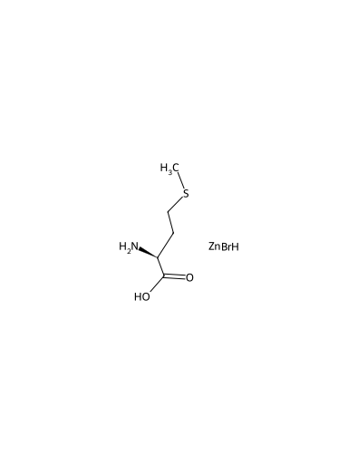 Br.CSCC[C@H](N)C(=O)O.[Zn]